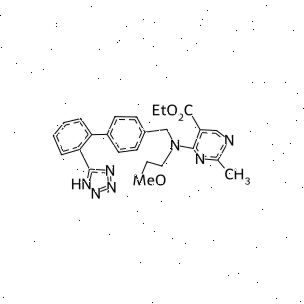 CCOC(=O)c1cnc(C)nc1N(CCOC)Cc1ccc(-c2ccccc2-c2nnn[nH]2)cc1